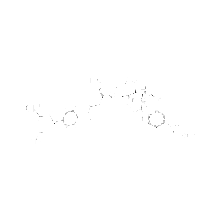 CCCCCOc1ccc2c(c1)CC[C@@H]1[C@@H]2CC[C@]2(C)[C@@H](C(OC(=O)CCCc3ccc(N(CCCl)CCCl)cc3)C(=O)O)CC[C@@H]12